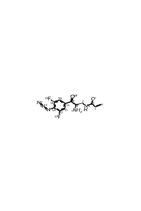 C=CC(=O)NCC(N)C(=O)c1cc(F)c(N=[N+]=[N-])c(F)c1